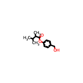 CC(C)C(C)C(=O)Oc1ccc(CO)cc1